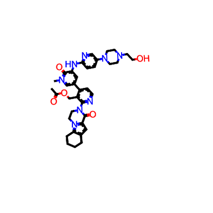 CC(=O)OCc1c(-c2cc(Nc3ccc(N4CCN(CCO)CC4)cn3)c(=O)n(C)c2)ccnc1N1CCn2c(cc3c2CCCC3)C1=O